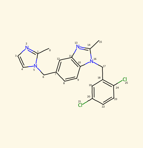 Cc1nccn1Cc1ccc2c(c1)nc(C)n2Cc1cc(Cl)ccc1Cl